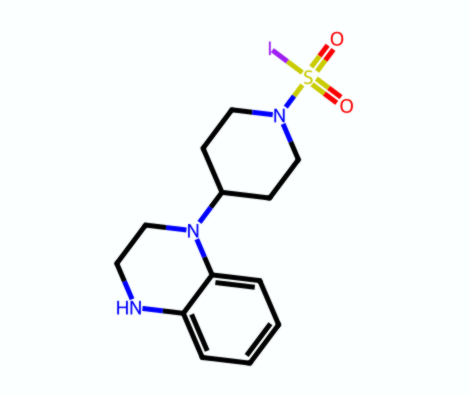 O=S(=O)(I)N1CCC(N2CCNc3ccccc32)CC1